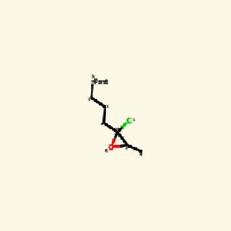 CCCCCCCCC1(Cl)OC1C